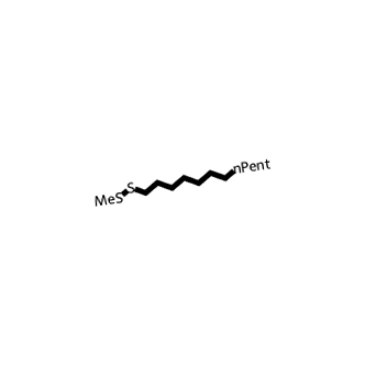 CCCCCCCCCCCCSSC